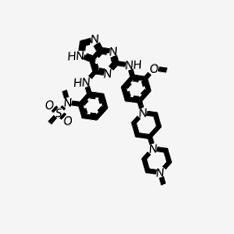 COc1cc(N2CCC(N3CCN(C)CC3)CC2)ccc1Nc1nc(Nc2ccccc2N(C)S(C)(=O)=O)c2[nH]cnc2n1